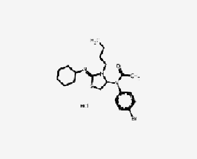 CCCCN1C(=NC2CCCCC2)SCC1N(C(C)=O)c1ccc(Br)cc1.Cl